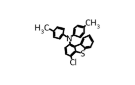 Cc1ccc(N(c2ccc(C)cc2)c2ccc(Cl)c3sc4ccccc4c23)cc1